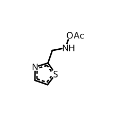 CC(=O)ONCc1nccs1